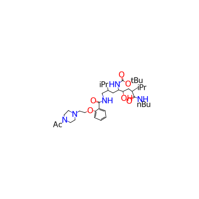 CCCCNC(=O)C(CC(O)C(CC(CNC(=O)c1ccccc1OCCN1CCN(C(C)=O)CC1)C(C)C)NC(=O)OC(C)(C)C)C(C)C